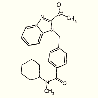 CN(C(=O)c1ccc(Cn2c([S+](C)[O-])nc3ccccc32)cc1)C1CCCCC1